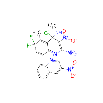 CNC1(Cl)C2=C(C)C(F)(F)C=CC2=NC(N)=C1[N+](=O)[O-].O=[N+]([O-])c1cnc2ccccc2c1